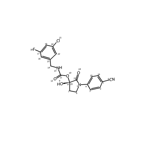 N#Cc1ccc(N2CC[C@](O)(OC(=O)NCc3cc(F)cc(Cl)c3)C2=O)cc1